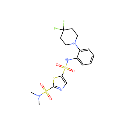 CN(C)S(=O)(=O)c1ncc(S(=O)(=O)Nc2ccccc2N2CCC(F)(F)CC2)s1